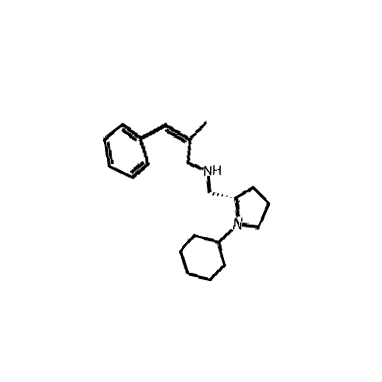 CC(=Cc1ccccc1)CNC[C@@H]1CCCN1C1CCCCC1